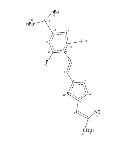 [C-]#[N+]/C(=C\c1ccc(/C=C/c2c(F)cc(N(CCCC)CCCC)cc2F)s1)C(=O)O